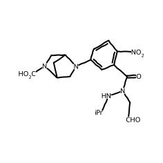 CC(C)NN(CC=O)C(=O)c1cc(N2CC3CC2CN3C(=O)O)ccc1[N+](=O)[O-]